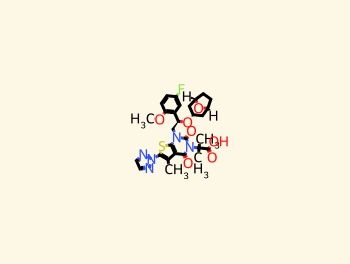 COc1ccc(F)cc1[C@H](Cn1c(=O)n(C(C)(C)C(=O)O)c(=O)c2c(C)c(-n3nccn3)sc21)O[C@H]1C[C@H]2CC[C@@H](C1)O2